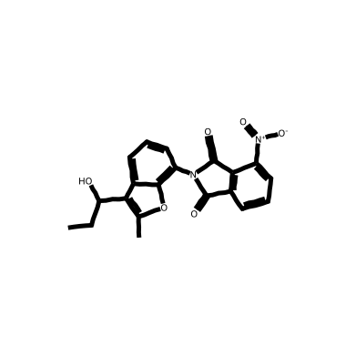 CCC(O)c1c(C)oc2c(N3C(=O)c4cccc([N+](=O)[O-])c4C3=O)cccc12